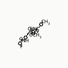 Cc1ccc(CCC(=O)Nc2c(Cl)n(CC#Cc3ccc(NC(=O)c4cccc(F)c4)cc3)c(=O)n(C)c2=O)cc1